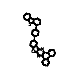 c1ccc2c(c1)sc1c(-c3ccc(-c4ccc5oc6nc7c8ccccc8c8ccccc8c7nc6c5c4)cc3)cccc12